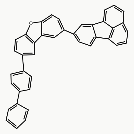 c1ccc(-c2ccc(-c3ccc4oc5ccc(-c6ccc7c(c6)-c6cccc8cccc-7c68)cc5c4c3)cc2)cc1